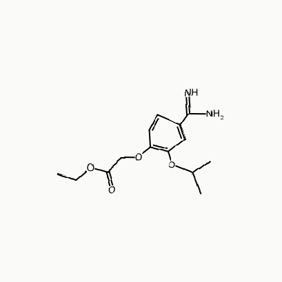 CCOC(=O)COc1ccc(C(=N)N)cc1OC(C)C